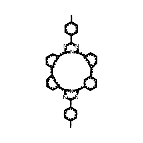 Cc1ccc(-c2nc3nc(n2)c2cccc(c2)c2cccc(c2)c2nc(-c4ccc(C)cc4)nc(n2)c2cccc(c2)c2cccc3c2)cc1